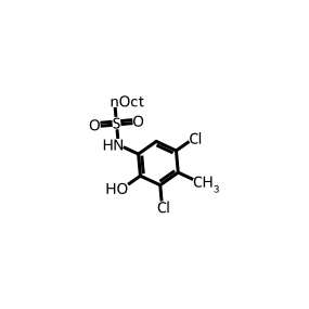 CCCCCCCCS(=O)(=O)Nc1cc(Cl)c(C)c(Cl)c1O